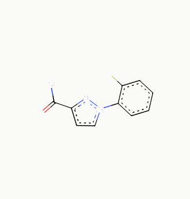 NC(=O)c1ccn(-c2ccccc2F)n1